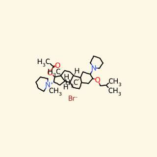 CC(=O)OC1C([N+]2(C)CCCCC2)C[C@H]2[C@@H]3CCC4CC(OCC(C)C)C(N5CCCCC5)C[C@]4(C)[C@@H]3CC[C@]12C.[Br-]